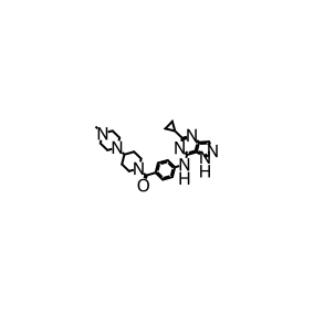 CN1CCN(C2CCN(C(=O)c3ccc(Nc4nc(C5CC5)nc5cn[nH]c45)cc3)CC2)CC1